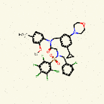 CCOc1cc(C(=O)O)ccc1N(Cc1cc(C2CC2)cc(N2CCOCC2)c1)C(=O)CN(Cc1ccccc1Cl)S(=O)(=O)c1c(F)c(F)c(F)c(F)c1Br